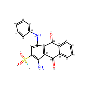 Nc1c(S(=O)(=O)F)cc(Nc2ccccc2)c2c1C(=O)c1ccccc1C2=O